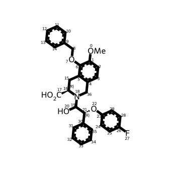 COc1ccc2c(c1OCc1ccccc1)C[C@H](C(=O)O)N(C(O)[C@H](Oc1ccc(F)cc1)c1ccccc1)C2